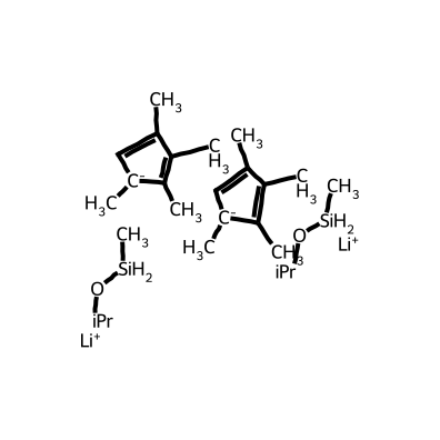 C[SiH2]OC(C)C.C[SiH2]OC(C)C.Cc1c[c-](C)c(C)c1C.Cc1c[c-](C)c(C)c1C.[Li+].[Li+]